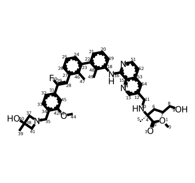 COC(=O)[C@](C)(CCCO)NCc1cnc2c(Nc3cccc(-c4cccc(/C=C(\F)c5ccc(CN6CC(C)(O)C6)c(OC)c5)c4C)c3C)nccc2c1